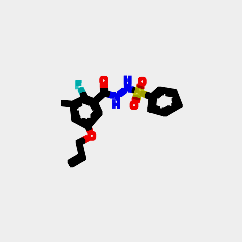 C=CCOc1cc(C)c(F)c(C(=O)NNS(=O)(=O)c2ccccc2)c1